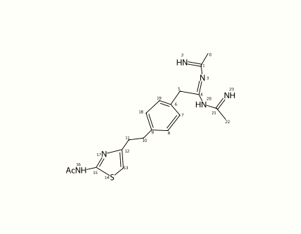 CC(=N)N=C(Cc1ccc(CCc2csc(NC(C)=O)n2)cc1)NC(C)=N